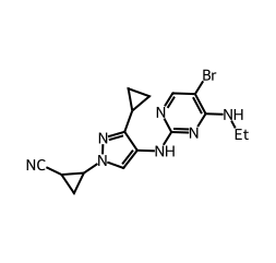 CCNc1nc(Nc2cn(C3CC3C#N)nc2C2CC2)ncc1Br